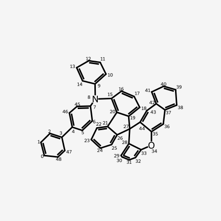 c1ccc(-c2ccc(N(c3ccccc3)c3cccc4c3-c3ccccc3C43c4ccccc4Oc4cc5ccccc5cc43)cc2)cc1